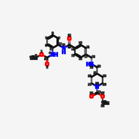 CC(C)(C)OC(=O)Nc1ccccc1NC(=O)c1ccc(CNCC2CCN(C(=O)OC(C)(C)C)CC2)cc1